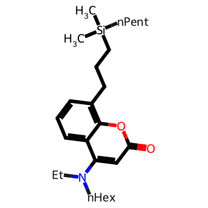 CCCCCCN(CC)c1cc(=O)oc2c(CCC[Si](C)(C)CCCCC)cccc12